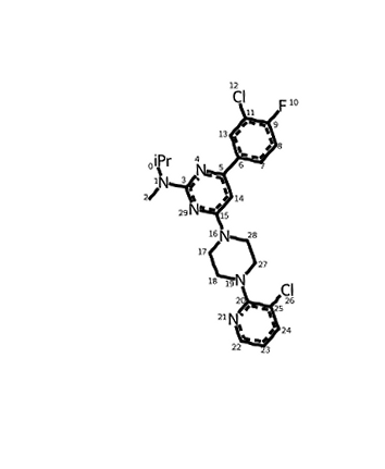 CC(C)N(C)c1nc(-c2ccc(F)c(Cl)c2)cc(N2CCN(c3ncccc3Cl)CC2)n1